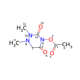 CC(=O)ON1C(=O)CN(C)N(C)C1=O